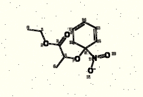 CCOC(=O)C(C)OC1([N+](=O)[O-])[CH]C=CC=C1